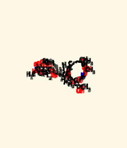 C=CCN(/C=C1/C(=O)O[C@H](COC)C2C1=C(O)C(=O)C1=C2[C@H](OC(C)=O)C[C@]2(C)[C@@H](OC(=O)CCCCCCC(=O)O[C@@H]3/C(C)=C/[C@@H](C)C(=O)C[C@@H]([C@H](C)C[C@@H]4CC[C@@H](O)[C@H](OC)C4)OC(=O)[C@@H]4CCCCN4C(=O)C(=O)[C@]4(O)O[C@@H](CC[C@H]4C)C[C@H](OC)/C(C)=C/C=C/C=C/[C@@H](C)C[C@@H](C)C(=O)[C@@H]3OC)CC[C@@H]12)CC=C